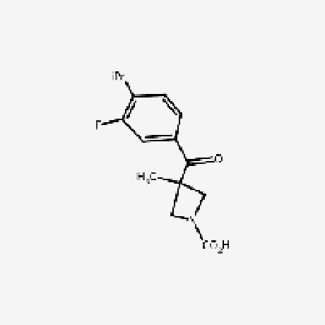 CC(C)c1ccc(C(=O)C2(C)CN(C(=O)O)C2)cc1F